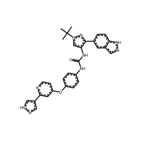 CC(C)(C)n1cc(NC(=O)Nc2ccc(Oc3ccnc(-c4cn[nH]c4)c3)cc2)c(-c2ccc3[nH]ncc3c2)n1